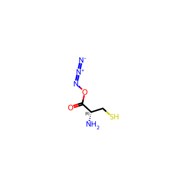 [N-]=[N+]=NOC(=O)[C@@H](N)CS